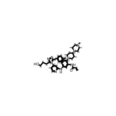 C=CC(=O)Nc1cc(Nc2cc(-n3c(CCCO)nnc3-c3ccc(F)cc3)ccn2)ccc1N1CCC(N2CCN(C)CC2)CC1